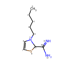 CCCCCN1[C]=CSC1C(=N)N